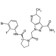 CC1Cc2c(C(N)=O)nn(CC(=O)N3CCC[C@H]3C(=O)Nc3cccc(Br)c3F)c2C=N1